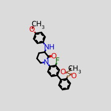 COc1ccc(NC2CCCN(c3ccc(-c4ccccc4S(C)(=O)=O)cc3F)C2=O)cc1